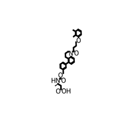 Cc1cccc(OCCCC(=O)N2CCCc3c(-c4cccc(COC(=O)N[C@H](C)CC(=O)O)c4)cccc32)c1C